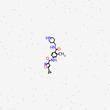 Cc1cc(NC(=O)c2cc(C3CC3)on2)ccc1C(=O)NCC1CCNCC1